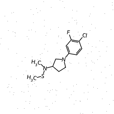 CSN(C)C1CCN(c2ccc(Cl)c(F)c2)C1